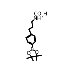 CC1(C)OB(c2ccc(CCCNC(=O)O)cc2)OC1(C)C